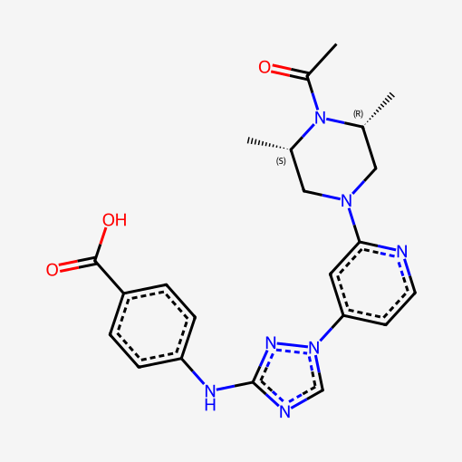 CC(=O)N1[C@H](C)CN(c2cc(-n3cnc(Nc4ccc(C(=O)O)cc4)n3)ccn2)C[C@@H]1C